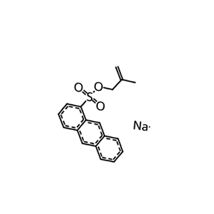 C=C(C)COS(=O)(=O)c1cccc2cc3ccccc3cc12.[Na]